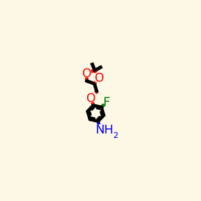 CC1(C)OCC(COc2ccc(N)cc2F)O1